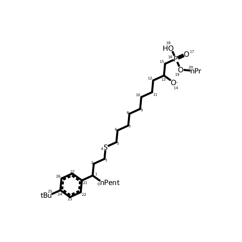 CCCCCC(CCSCCCCCCCCC([O])CP(=O)(O)OCCC)c1ccc(C(C)(C)C)cc1